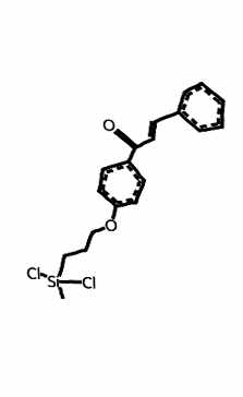 C[Si](Cl)(Cl)CCCOc1ccc(C(=O)C=Cc2ccccc2)cc1